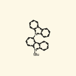 CC(C)(C)n1c2ccccc2c2c(-n3c4ccccc4c4ccccc43)cccc21